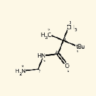 CC(C)(C)C(C)(C)C(=O)NCN